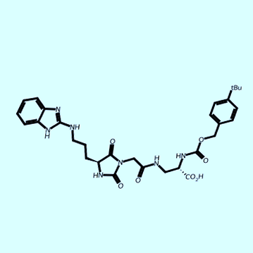 CC(C)(C)c1ccc(COC(=O)N[C@@H](CNC(=O)CN2C(=O)N[C@@H](CCCNc3nc4ccccc4[nH]3)C2=O)C(=O)O)cc1